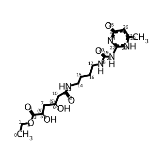 CCOC(=O)[C@@H](O)C[C@H](O)CC(=O)NCCCCNC(=O)Nc1nc(=O)cc(C)[nH]1